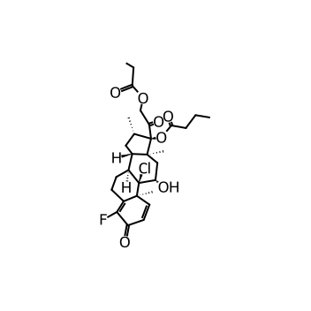 CCCC(=O)O[C@]1(C(=O)COC(=O)CC)[C@@H](C)C[C@H]2[C@@H]3CCC4=C(F)C(=O)C=C[C@]4(C)[C@@]3(Cl)[C@@H](O)C[C@@]21C